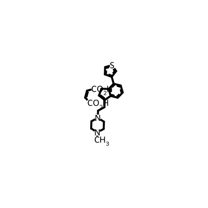 CN1CCN(CCC2=CCc3c2cccc3-c2ccsc2)CC1.O=C(O)/C=C\C(=O)O